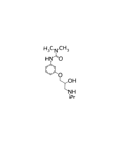 CC(C)NCC(O)COc1cccc(NC(=O)N(C)C)c1